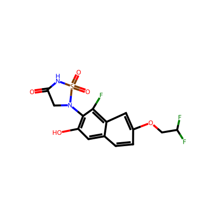 O=C1CN(c2c(O)cc3ccc(OCC(F)F)cc3c2F)S(=O)(=O)N1